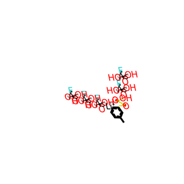 Cc1cccc(S(=O)(=O)O)c1.O=[As](O)(O)F.O=[As](O)(O)F.O=[As](O)(O)F.O=[As](O)(O)F.O=[As]([O-])(O)F.[Li+]